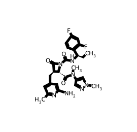 CC[C@@H](NC(=O)N1C(=O)[C@H](Cc2cc(C)nc(N)c2)[C@H]1C(=O)N(C)c1cnn(C)c1)c1ccc(F)cc1F